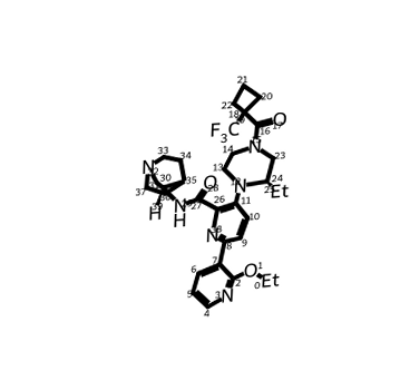 CCOc1ncccc1-c1ccc(N2CCN(C(=O)C3(C(F)(F)F)CCC3)C[C@H]2CC)c(C(=O)N[C@@H]2CN3CCC2CC3)n1